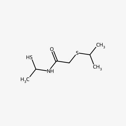 CC(S)NC(=O)CSC(C)C